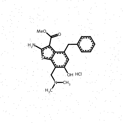 COC(=O)c1c(N)sc2c(CN(C)C)c(O)cc(Cc3ccccc3)c12.Cl